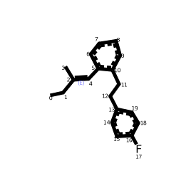 CC/C(C)=C/c1ccccc1CCc1ccc(F)cc1